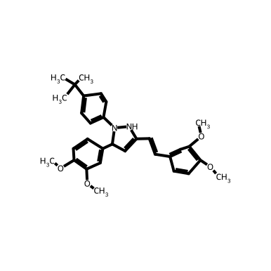 COc1ccc(C=CC2=CC(c3ccc(OC)c(OC)c3)N(c3ccc(C(C)(C)C)cc3)N2)cc1OC